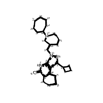 O=c1[nH]c2c(c(C3CCC3)nn2CC2CCCN(C3CCCCCC3)C2)c2c1CCCC2